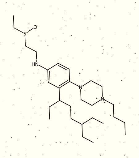 CCCCN1CCN(c2ccc(NCC[S+]([O-])CC)cc2C(CC)CCC(CC)CC)CC1